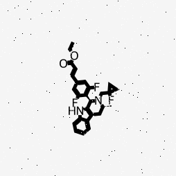 CCOC(=O)/C=C/c1cc(F)c([C@@H]2c3[nH]c4ccccc4c3C[C@@H](C)N2CC2(F)CC2)c(F)c1